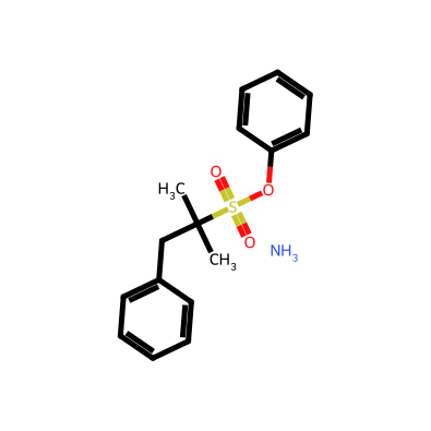 CC(C)(Cc1ccccc1)S(=O)(=O)Oc1ccccc1.N